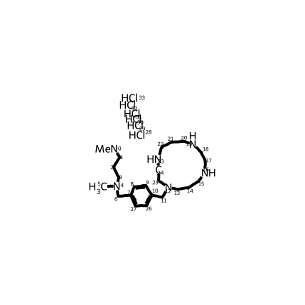 CNCCCN(C)Cc1ccc(CN2CCCNCCNCCCNCC2)cc1.Cl.Cl.Cl.Cl.Cl.Cl